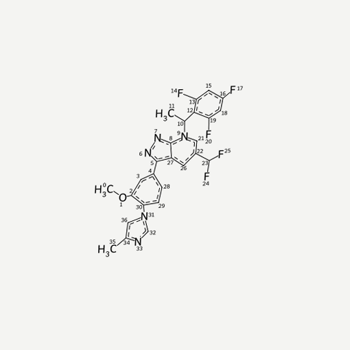 COc1cc(-c2nnc3n(C(C)c4c(F)cc(F)cc4F)cc(C(F)F)cc2-3)ccc1-n1cnc(C)c1